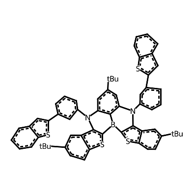 CC(C)(C)c1cc2c3c(c1)N(c1cccc(-c4cc5ccccc5s4)c1)c1c(sc4ccc(C(C)(C)C)cc14)B3c1sc3ccc(C(C)(C)C)cc3c1N2c1cccc(-c2cc3ccccc3s2)c1